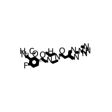 COc1c([C@H]2CN3CCN(C(=O)Cc4cnc(-n5cnnn5)nc4)C[C@H]3CO2)ccc(F)c1C#N